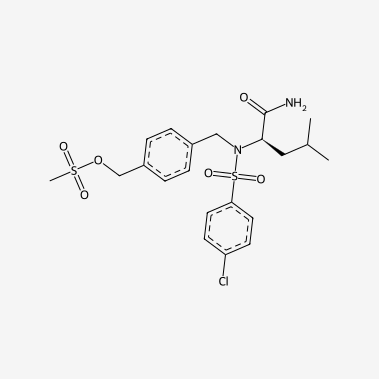 CC(C)C[C@H](C(N)=O)N(Cc1ccc(COS(C)(=O)=O)cc1)S(=O)(=O)c1ccc(Cl)cc1